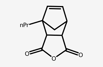 CCCC12C=CC(C1)C1C(=O)OC(=O)C12